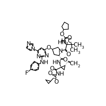 C=C[C@@H]1C[C@]1(NC(=O)[C@@H]1C[C@@H](Oc2cc(-n3ccnc3)nc(Nc3ccc(F)cc3)n2)CN1C(=O)[C@@H](NC(=O)OC1CCCC1)C(C)(C)C)C(=O)NS(=O)(=O)C1CC1